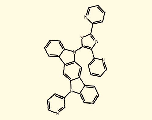 c1ccc(-c2nc(-c3ccccn3)c(-n3c4ccccc4c4cc5c(cc43)c3ccccc3n5-c3cccnc3)s2)nc1